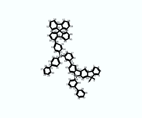 CC1(C)c2ccccc2-c2cc3c4cc(-c5cccc(N(c6ccc(-c7ccccc7)cc6)c6ccc(-c7cccc8c7-c7ccccc7C87c8ccccc8-c8ccccc87)cc6)c5)ccc4n(-c4cccc(-c5ccccc5)c4)c3cc21